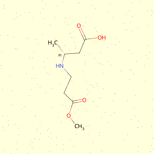 COC(=O)CCN[C@H](C)CC(=O)O